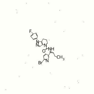 CCC[C@H](NC(=O)N1CCCc2c1cnn2-c1ccc(F)cc1)c1ccc(Br)nc1